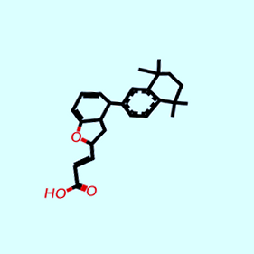 CC1(C)CCC(C)(C)c2cc(C3C=CC=C4OC(C=CC(=O)O)CC43)ccc21